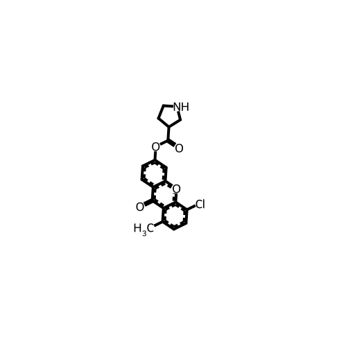 Cc1ccc(Cl)c2oc3cc(OC(=O)C4CCNC4)ccc3c(=O)c12